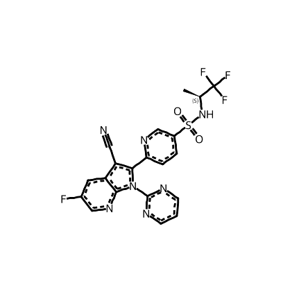 C[C@H](NS(=O)(=O)c1ccc(-c2c(C#N)c3cc(F)cnc3n2-c2ncccn2)nc1)C(F)(F)F